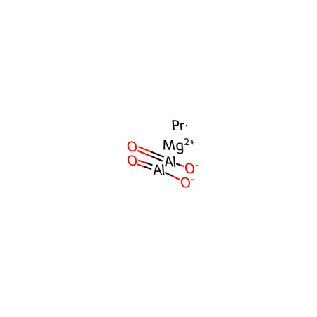 [Mg+2].[O]=[Al][O-].[O]=[Al][O-].[Pr]